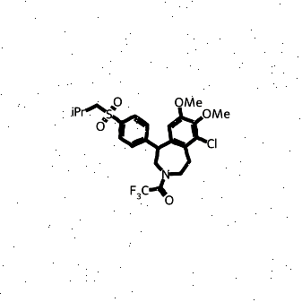 COc1cc2c(c(Cl)c1OC)CCN(C(=O)C(F)(F)F)CC2c1ccc(S(=O)(=O)CC(C)C)cc1